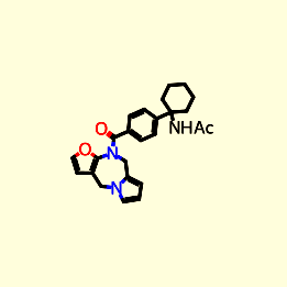 CC(=O)NC1(c2ccc(C(=O)N3Cc4cccn4Cc4ccoc43)cc2)CCCCC1